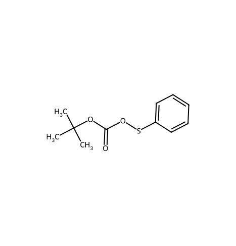 CC(C)(C)OC(=O)OSc1ccccc1